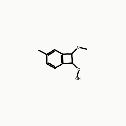 COC1c2cc(C)ccc2C1OO